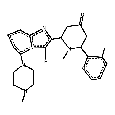 Cc1cccnc1C1CC(=O)CC(c2nc3cccc(N4CCN(C)CC4)n3c2F)N1C